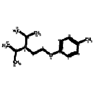 Cc1ccc(OCCN(C(C)C)C(C)C)cc1